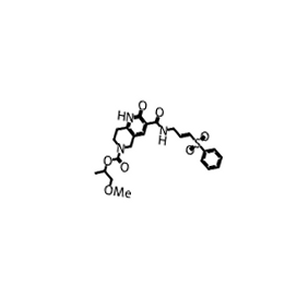 COCC(C)OC(=O)N1CCc2[nH]c(=O)c(C(=O)NC/C=C/S(=O)(=O)c3ccccc3)cc2C1